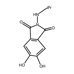 CC(C)NN1C(=O)c2cc(O)c(O)cc2C1=O